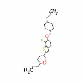 CCCC1CCC(COc2ccc3cc(C4CCC(CCC)OC4)sc3c2F)CC1